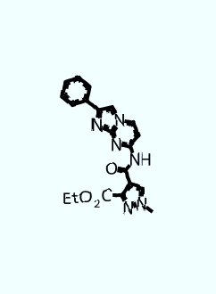 CCOC(=O)c1nn(C)cc1C(=O)Nc1ccn2cc(-c3ccccc3)nc2n1